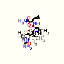 C[C@@H]1C[C@@H](C(=O)NC(CC2CC2)C(=O)C(N)=O)N(C(=O)C([C@H](CNC(=O)CN)C(C)(C)C)C(C)(C)C)C1